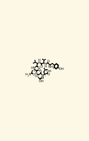 CC(C)C[C@](C)(NC(=O)[C@H](CC(=O)O)NC(=O)[C@H](CC(N)=O)NC(=O)[C@@H](NC(=O)[C@@H](NC(=O)[C@@H](N)Cc1ccc(O)cc1)C(C)C)C(C)C)C(=O)O